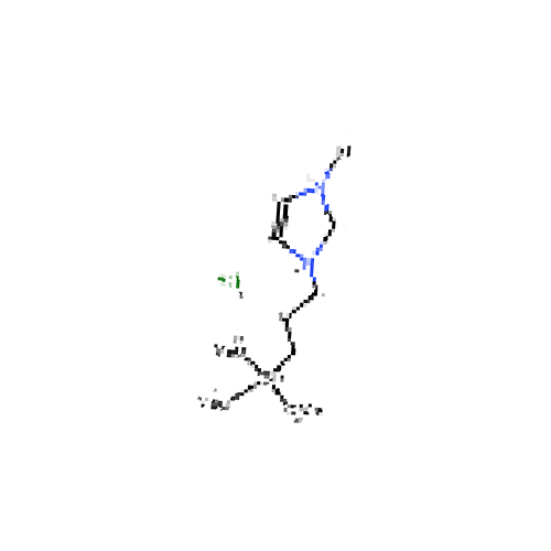 CCN1C=CN(CCC[Si](OC)(OC)OC)C1.Cl